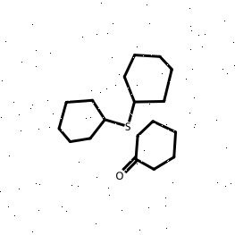 C1CCC(SC2CCCCC2)CC1.O=C1CCCCC1